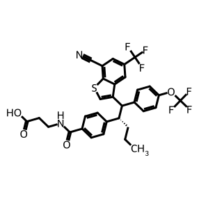 CCC[C@H](c1ccc(C(=O)NCCC(=O)O)cc1)C(c1ccc(OC(F)(F)F)cc1)c1csc2c(C#N)cc(C(F)(F)F)cc12